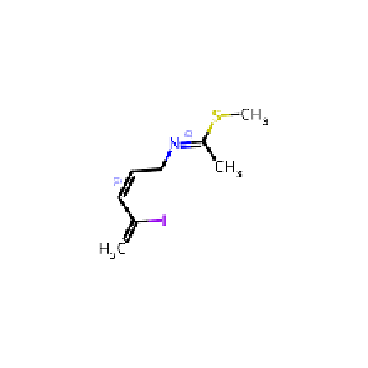 C=C(I)/C=C\C/N=C(\C)SC